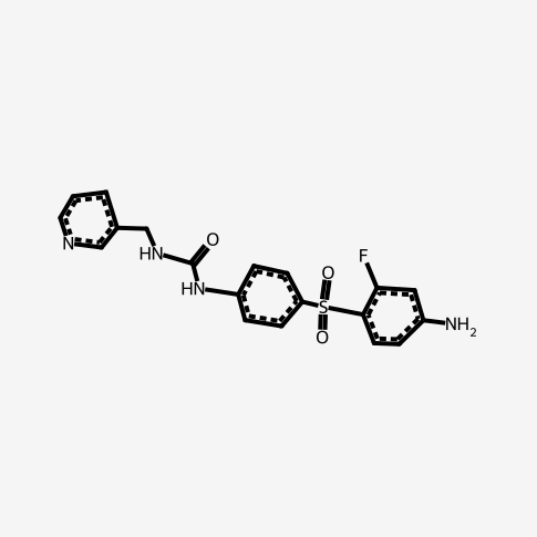 Nc1ccc(S(=O)(=O)c2ccc(NC(=O)NCc3cccnc3)cc2)c(F)c1